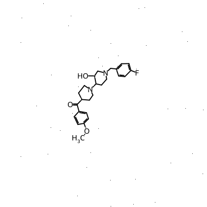 COc1ccc(C(=O)C2CCN(C3CCN(Cc4ccc(F)cc4)CC3O)CC2)cc1